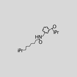 CC(C)CCCCCCC(=O)NCc1cccc(C(=O)C(C)C)c1